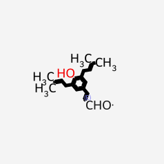 CC(C)=CCc1cc(/C=C/[C]=O)cc(CC=C(C)C)c1O